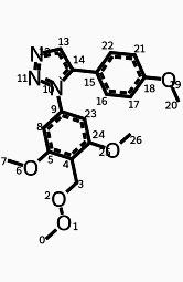 COOCc1c(OC)cc(-n2nncc2-c2ccc(OC)cc2)cc1OC